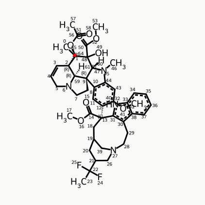 CC[C@]12C=CCN3CC[C@@]4(c5cc([C@@]6(C(=O)OC)CC7CC(C(C)(F)F)CN(CCc8c6[nH]c6ccccc86)C7)c(OC)cc5N(C)[C@H]4C(O)(C(=O)OC)[C@@H]1OC(C)=O)[C@@H]32